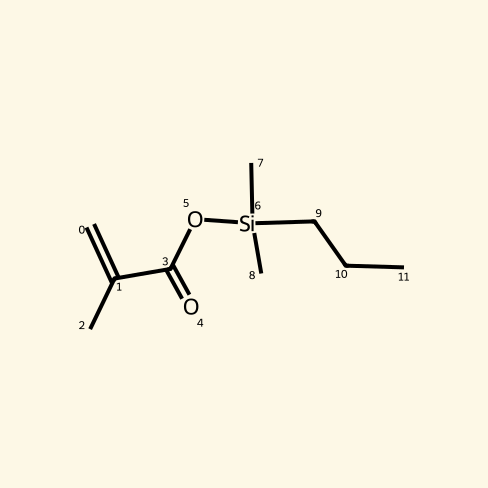 C=C(C)C(=O)O[Si](C)(C)CCC